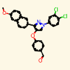 COc1ccc2cc(-c3nn(-c4ccc(Cl)c(Cl)c4)cc3Oc3ccc(C=O)cc3)ccc2c1